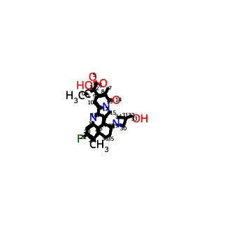 CC[C@@]1(O)C(=O)OCc2c1cc1n(c2=O)Cc2c-1nc1cc(F)c(C)c3c1c2[C@@H](N1CC(CO)C1)CC3